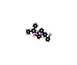 N#Cc1ccccc1-c1ccc2c3ccccc3n(-c3cccc4c3C(=O)N(c3cc(-c5ccccc5)cc(-c5ccccc5)c3)C4=O)c2c1